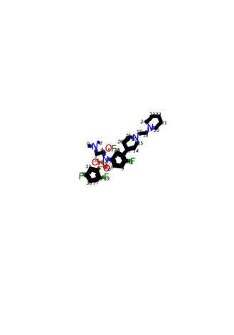 CN(C)CC(=O)N(c1ccc(F)c(C2=CCN(CCN3CCCCC3)C=C2)c1F)S(=O)(=O)c1cc(F)ccc1F